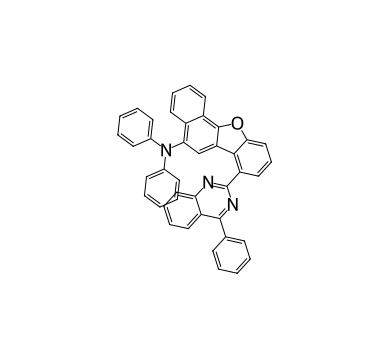 c1ccc(-c2nc(-c3cccc4oc5c6ccccc6c(N(c6ccccc6)c6ccccc6)cc5c34)nc3ccccc23)cc1